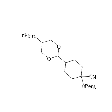 CCCCCC1COC(C2CCC(C#N)(CCCCC)CC2)OC1